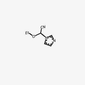 CCOC(C#N)n1ccnc1